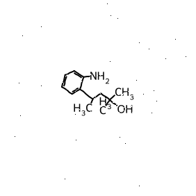 CC(CC(C)(C)O)c1ccccc1N